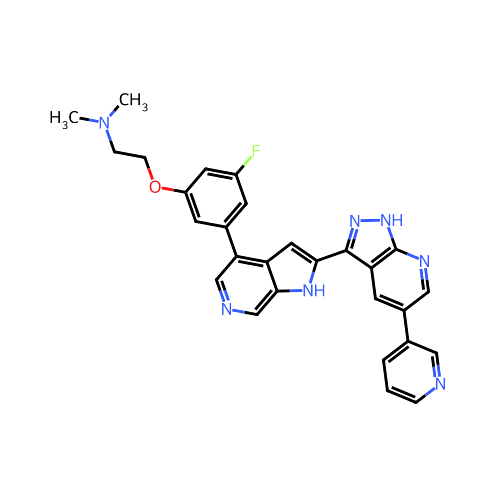 CN(C)CCOc1cc(F)cc(-c2cncc3[nH]c(-c4n[nH]c5ncc(-c6cccnc6)cc45)cc23)c1